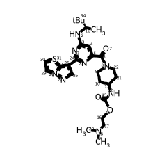 C[C@@H](Nc1cc(C(=O)N2CCC(NC(=O)OCCN(C)C)CC2)nc(-c2cnn3ccsc23)n1)C(C)(C)C